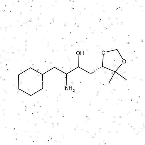 CC1(C)OCO[C@H]1CC(O)C(N)CC1CCCCC1